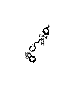 O=S(=O)(NCCCN1CCN(c2noc3ccccc23)CC1)c1ccc(F)cc1